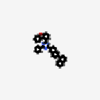 c1ccc(-c2nc(-c3ccc4cc(-c5cccc6ccccc56)ccc4c3)nc(-c3cccc4oc5ccccc5c34)n2)cc1